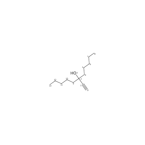 C#CC(O)(CCCCC)CCCCC